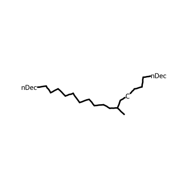 CCCCCCCCCCCCCCCCCCCCC(C)CCCCCCCCCCCCCCC